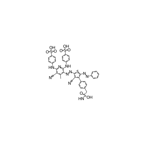 Cc1c(C#N)c(Nc2ccc(S(=O)(=O)O)cc2)nc(Nc2ccc(S(=O)(=O)O)cc2)c1N=Nc1sc(N=Nc2ccccc2)c(-c2ccc(CS(=N)(=O)O)cc2)c1C#N